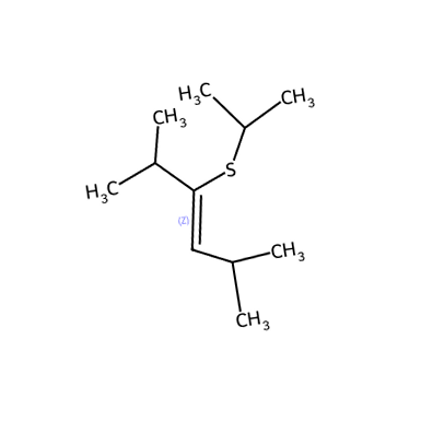 CC(C)/C=C(\SC(C)C)C(C)C